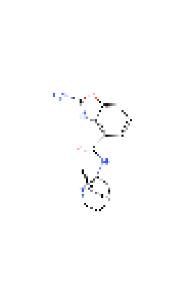 Nc1nc2c(C(=O)N[C@@H]3CC4CCN3CC4)cccc2o1